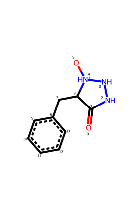 O=C1NN[NH+]([O-])C1Cc1ccccc1